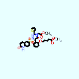 COC(=O)CCCCOc1ccccc1[C@H](NS(=O)(=O)c1ccc2[nH]c(=O)ccc2c1)C(=O)N(CC(=O)OC)Cc1cccs1